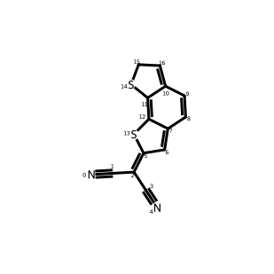 N#CC(C#N)=c1cc2ccc3c(c2s1)SCC=3